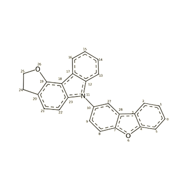 c1ccc2c(c1)oc1ccc(-n3c4ccccc4c4c5c(ccc43)CCO5)cc12